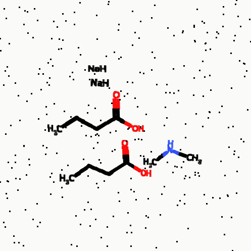 CCCC(=O)O.CCCC(=O)O.CNC.[NaH].[NaH]